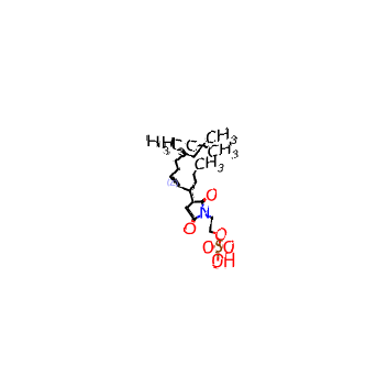 CCCC(/C=C\CCC(C)CC(C)(C)C)C1CC(=O)N(CCOS(=O)(=O)O)C1=O